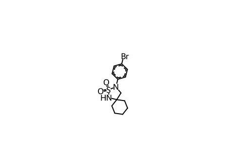 O=S1(=O)NC2(CCCCC2)CN1c1ccc(Br)cc1